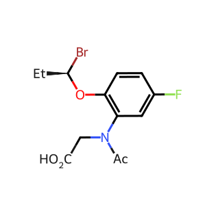 CC[C@@H](Br)Oc1ccc(F)cc1N(CC(=O)O)C(C)=O